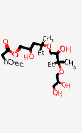 CCCCCCCCCCCC(=O)OCC(O)CC(C)(CC)OCC(O)C(C)(CC)OCC(O)CO